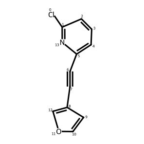 Clc1cccc(C#Cc2ccoc2)n1